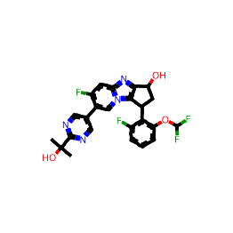 CC(C)(O)c1ncc(-c2cn3c4c(nc3cc2F)C(O)CC4c2c(F)cccc2OC(F)F)cn1